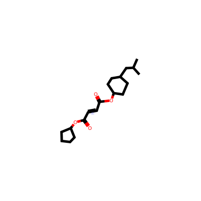 CC(C)CC1CCC(OC(=O)/C=C/C(=O)OC2CCCC2)CC1